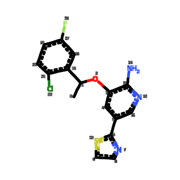 CC(Oc1cc(-c2nccs2)cnc1N)c1cc(F)ccc1Cl